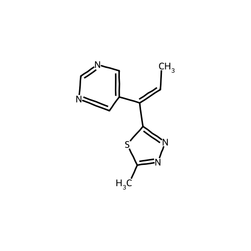 C/C=C(\c1cncnc1)c1nnc(C)s1